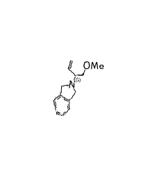 C=C[C@@H](COC)N1Cc2ccccc2C1